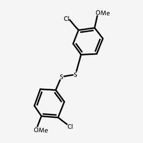 COc1ccc(SSc2ccc(OC)c(Cl)c2)cc1Cl